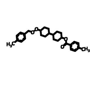 Cc1ccc(COOC2CCC(C3CCC(OC(=O)c4ccc(C)cc4)CC3)CC2)cc1